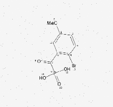 COc1ccc(Br)c(C(=O)P(=O)(O)O)c1